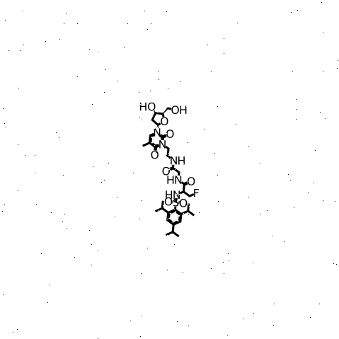 Cc1cn([C@H]2C[C@H](O)[C@@H](CO)O2)c(=O)n(CCNC(=O)CNC(=O)C(CF)NS(=O)(=O)c2c(C(C)C)cc(C(C)C)cc2C(C)C)c1=O